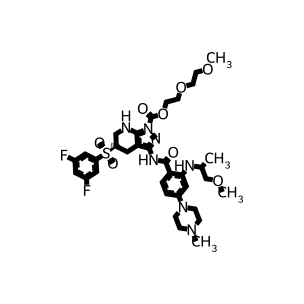 COCCOCCOC(=O)n1nc(NC(=O)c2ccc(N3CCN(C)CC3)cc2NC(C)COC)c2c1NC[C@H](S(=O)(=O)c1cc(F)cc(F)c1)C2